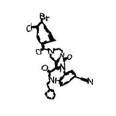 N#Cc1cccc(-n2c(C(=O)NCc3ccccc3)c3n(c2=O)CCN(C(=O)c2ccc(Br)c(Cl)c2)C3)c1